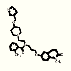 Cc1ccccc1C(=O)N(CCCOc1ccc2c(ccc(=O)n2C)c1)CCN1CCC(OCc2cccnc2)CC1